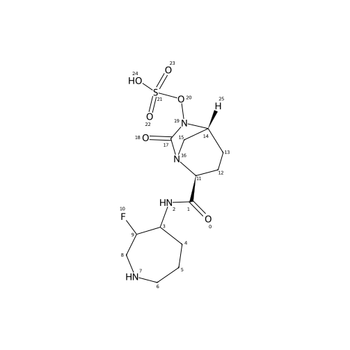 O=C(NC1CCCNCC1F)[C@@H]1CC[C@@H]2CN1C(=O)N2OS(=O)(=O)O